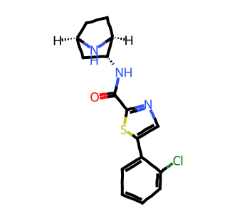 O=C(N[C@@H]1C[C@H]2CC[C@@H]1N2)c1ncc(-c2ccccc2Cl)s1